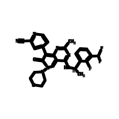 Cc1nc(N[C@H](C)c2cccc(C(F)F)c2F)c2cn(N3CCOCC3)c(=O)c(-c3ccnc(C#N)c3)c2n1